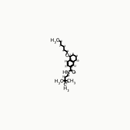 CCCCCCOC1CCCc2cc(C(=O)NCCC(C)(C)C)ccc21